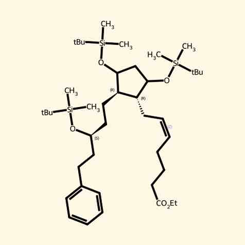 CCOC(=O)CCC/C=C\C[C@H]1C(O[Si](C)(C)C(C)(C)C)CC(O[Si](C)(C)C(C)(C)C)[C@@H]1CC[C@@H](CCc1ccccc1)O[Si](C)(C)C(C)(C)C